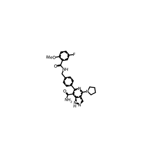 COc1ccc(F)cc1C(=O)NCc1ccc(-c2nc(N3CCCC3)c3cn[nH]c3c2C(N)=O)cc1